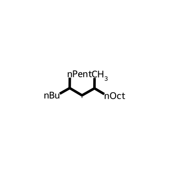 CCCCCCCCC(C)[CH]C(CCCC)CCCCC